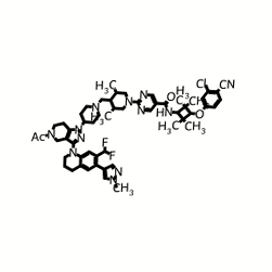 CC(=O)N1CCc2c(c(N3CCCc4cc(-c5cnn(C)c5)c(C(F)F)cc43)nn2C2CCN(CC3C(C)CN(c4ncc(C(=O)NC5C(C)(C)C(Oc6ccc(C#N)c(Cl)c6)C5(C)C)cn4)CC3C)CC2)C1